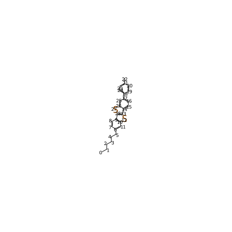 CCCCCCc1ccc2c(c1)sc1c3ccc(-c4ccc(C)cc4)cc3sc21